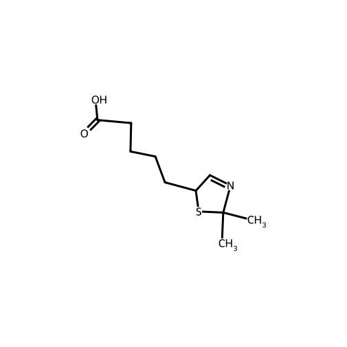 CC1(C)N=CC(CCCCC(=O)O)S1